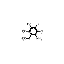 CCc1c(C)c(Cl)c(F)c(Cl)c1N